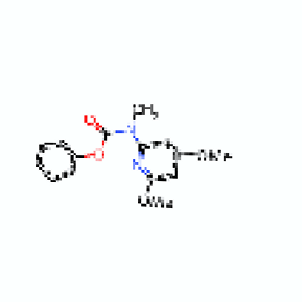 COc1cc(OC)nc(N(C)C(=O)Oc2ccccc2)c1